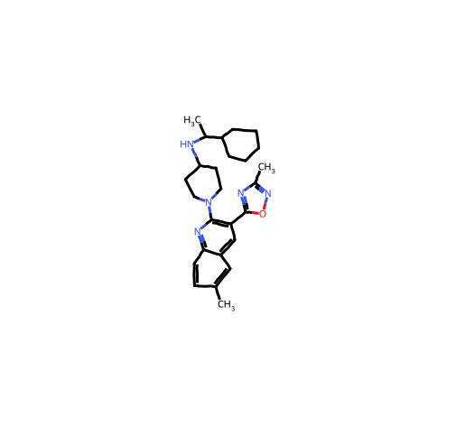 Cc1ccc2nc(N3CCC(NC(C)C4CCCCC4)CC3)c(-c3nc(C)no3)cc2c1